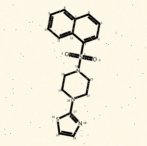 O=S(=O)(c1cccc2ccccc12)N1CCN(c2nccs2)CC1